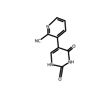 N#Cc1ncccc1-c1c[nH]c(=O)[nH]c1=O